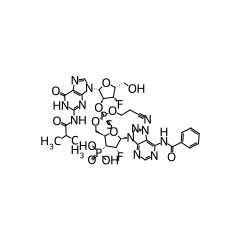 CC(C)C(=O)Nc1nc2c(ncn2[C@@H]2O[C@H](CO)[C@@H](F)[C@H]2OP(=S)(OCCC#N)OC[C@H]2O[C@@H](n3nnc4c(NC(=O)c5ccccc5)ncnc43)[C@H](F)[C@@H]2P(=O)(O)O)c(=O)[nH]1